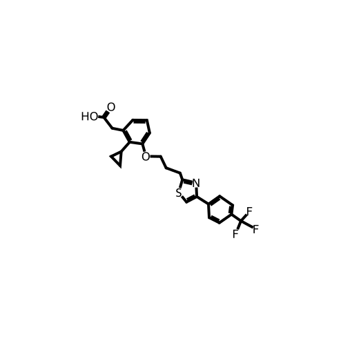 O=C(O)Cc1cccc(OCCCc2nc(-c3ccc(C(F)(F)F)cc3)cs2)c1C1CC1